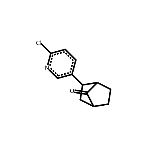 O=C1C2CCC1C(c1ccc(Cl)nc1)C2